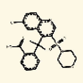 CC(C)(c1ccccc1C(=O)O)c1c(S(=O)(=O)N2CCOCC2)cnc2ccc(Cl)cc12